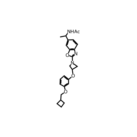 CC(=O)NC(C)c1ccc2nc(N3CC(Oc4cccc(OCC5CCC5)c4)C3)oc2c1